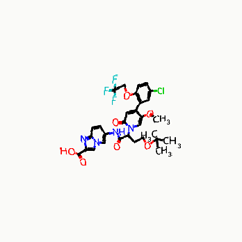 COc1cn(C(CCOC(C)(C)C)C(=O)Nc2ccc3nc(C(=O)O)cn3c2)c(=O)cc1-c1cc(Cl)ccc1OCC(F)(F)F